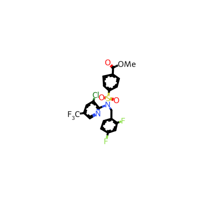 COC(=O)c1ccc(S(=O)(=O)N(Cc2ccc(F)cc2F)c2ncc(C(F)(F)F)cc2Cl)cc1